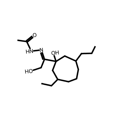 CCCC1CCCC(CC)CC(O)(/C(CO)=N/NC(C)=O)C1